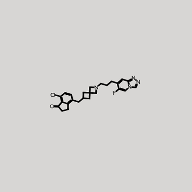 O=C1CCc2c(CC3CC4(C3)CN(CCCc3cc5nncn5cc3F)C4)ccc(Cl)c21